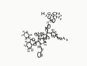 CC(C)(C)OC(=O)CON=C(C(=O)NC1C(=O)N2C(C(=O)OC(c3ccccc3)c3ccccc3)=C(/C=C/Cl)CS[C@@H]12)c1csc(N)n1